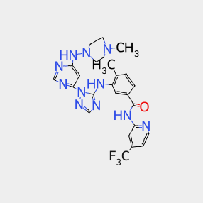 Cc1ccc(C(=O)Nc2cc(C(F)(F)F)ccn2)cc1Nc1ncnn1-c1cc(NN2CCN(C)CC2)ncn1